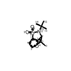 Cc1c2c3oc1cc3S(=O)(=O)N2C(C)(C)C